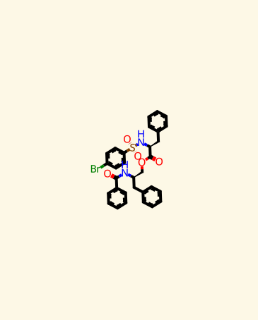 O=C(N[C@@H](COC(=O)[C@H](Cc1ccccc1)NS(=O)(=O)c1ccc(Br)cc1)Cc1ccccc1)c1ccccc1